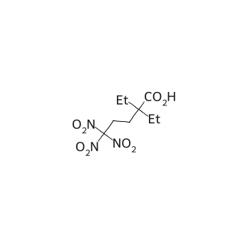 CCC(CC)(CCC([N+](=O)[O-])([N+](=O)[O-])[N+](=O)[O-])C(=O)O